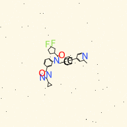 Cc1cc(C23CCC(CN(C(=O)C4CCC(F)(F)C4)c4cccc(-c5nc(C6CC6)no5)c4)(CC2)CC3)ccn1